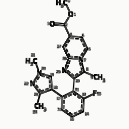 COC(=O)c1ccn2c(C)c(-c3c(F)cccc3-c3cn(C)nc3C)nc2c1